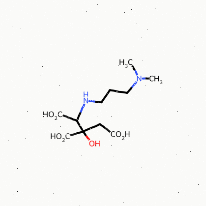 CN(C)CCCNC(C(=O)O)C(O)(CC(=O)O)C(=O)O